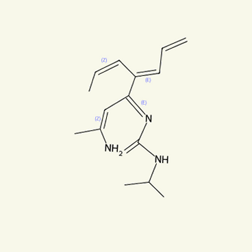 C=C/C=C(\C=C/C)C(/C=C(/C)N)=N/C(=C)NC(C)C